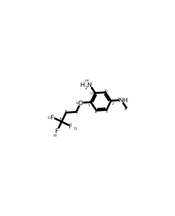 CNc1ccc(OCCC(F)(F)F)c(N)c1